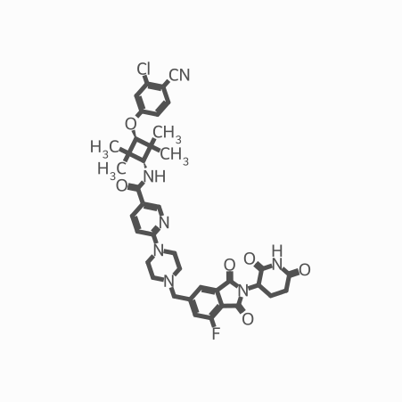 CC1(C)[C@H](NC(=O)c2ccc(N3CCN(Cc4cc(F)c5c(c4)C(=O)N(C4CCC(=O)NC4=O)C5=O)CC3)nc2)C(C)(C)[C@H]1Oc1ccc(C#N)c(Cl)c1